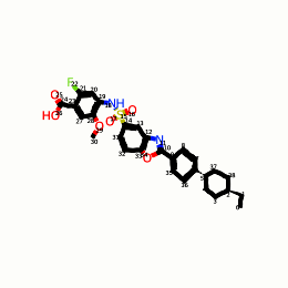 CC[C@H]1CC[C@H](c2ccc(-c3nc4cc(S(=O)(=O)Nc5cc(F)c(C(=O)O)cc5OC)ccc4o3)cc2)CC1